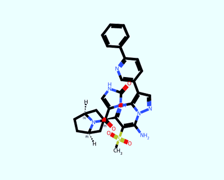 CS(=O)(=O)c1c([C@H]2C[C@H]3CC[C@@H](C2)N3C(=O)c2c[nH]c(=O)[nH]2)nc2c(-c3ccc(-c4ccccc4)nc3)cnn2c1N